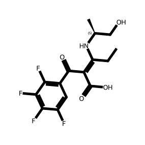 CCC(N[C@@H](C)CO)=C(C(=O)O)C(=O)c1cc(F)c(F)c(F)c1F